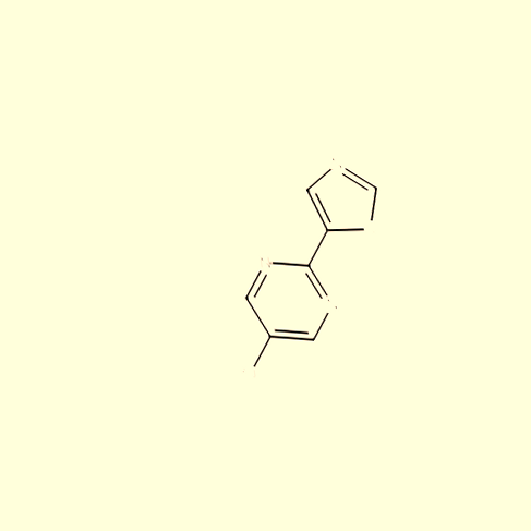 CC(C)(C)c1cnc(-c2cncs2)nc1